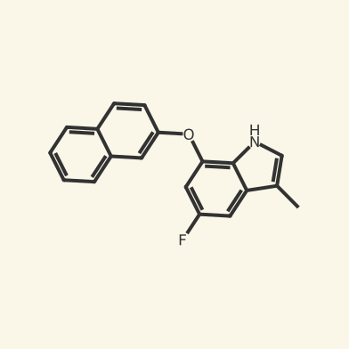 Cc1c[nH]c2c(Oc3ccc4ccccc4c3)cc(F)cc12